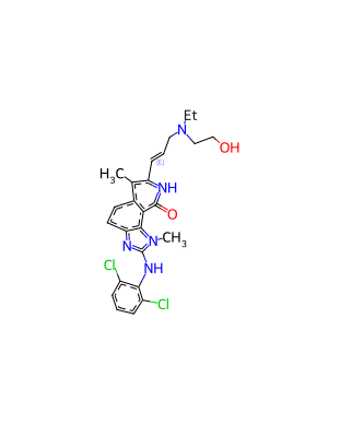 CCN(C/C=C/c1[nH]c(=O)c2c(ccc3nc(Nc4c(Cl)cccc4Cl)n(C)c32)c1C)CCO